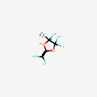 FC(F)=C1OC(F)(F)C(F)(C(F)(F)F)O1